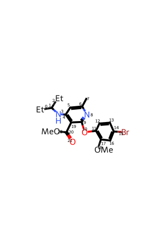 CCC(CC)Nc1cc(C)nc(Oc2ccc(Br)cc2OC)c1C(=O)OC